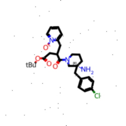 CC(C)(C)OC(=O)CC(Cc1cccc[n+]1[O-])C(=O)N1CCC[C@@](N)(Cc2ccc(Cl)cc2)C1